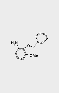 COc1cccc(N)c1OCc1ccccc1